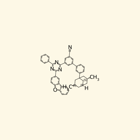 C[C@@H]1C[C@@H]2C[C@H](C)CC(c3cccc(-c4cc(C#N)cc(-c5nc(-c6ccccc6)nc(-c6ccc7oc8ccccc8c7c6)n5)c4)c3)(C1)C2